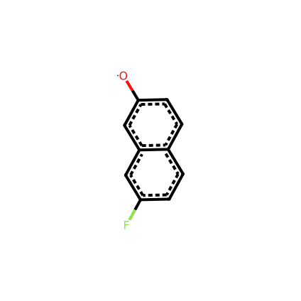 [O]c1ccc2ccc(F)cc2c1